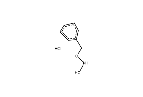 Cl.ONOCc1ccccc1